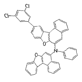 Clc1cc(Cl)cc(-c2ccc3oc4c(N(c5ccccc5)c5cc6oc7ccccc7c6c6ccccc56)cc5ccccc5c4c3c2)c1